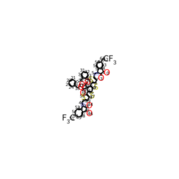 O=C1C(=O)/C(=C\c2cc3sc4c(c3s2)C(C(=O)OCc2ccccc2)(C(=O)OCc2ccccc2)c2c-4sc3cc(/C=C4\C(=O)C(=O)C5=CCC(C(F)(F)F)CC=C54)sc23)C2=CCC(CC(F)(F)F)C=C12